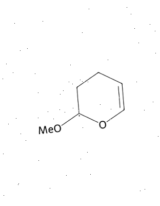 CO[C]1CCC=CO1